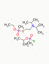 CC(C)OP(C)(=O)F.CCOP(C)(=O)SCCN(C(C)C)C(C)C